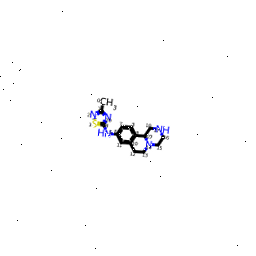 Cc1nsc(Nc2ccc3c(c2)CCN2CCNCC32)n1